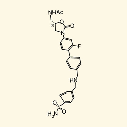 CC(=O)NC[C@H]1CN(c2ccc(-c3ccc(CNCc4ccc(S(N)(=O)=O)cc4)cc3)c(F)c2)C(=O)O1